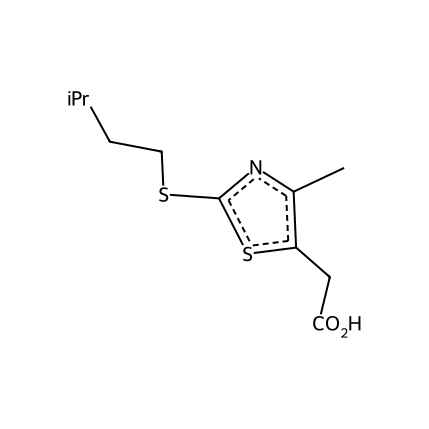 Cc1nc(SCCC(C)C)sc1CC(=O)O